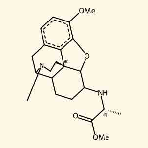 COC(=O)[C@@H](C)NC1CCC2C3Cc4ccc(OC)c5c4[C@]2(CCN3C)C1O5